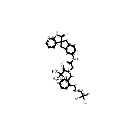 CC(C)(C)C(=O)N(CC(=O)Nc1ccc2c(c1)CC1(C2)C(=O)Nc2ncccc21)Cc1ccccc1CNCC(F)(F)F